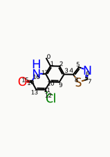 Cc1cc(-c2cncs2)cc2c(Cl)cc(=O)[nH]c12